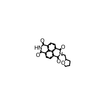 O=C1NC(=O)c2ccc3c4c(ccc1c24)C(=O)N(CC1CCCO1)C3=O